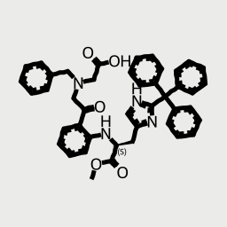 COC(=O)[C@H](Cc1c[nH]c(C(c2ccccc2)(c2ccccc2)c2ccccc2)n1)Nc1ccccc1C(=O)CN(CC(=O)O)Cc1ccccc1